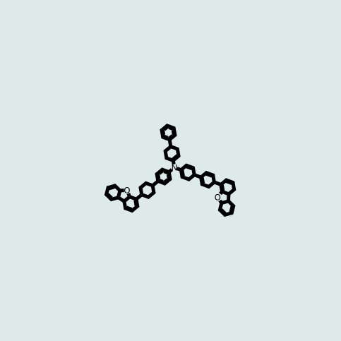 C1=CC2OC3=C(C4C=CC(C5C=CC(N(C6=CCC(c7ccccc7)CC6)c6ccc(C7CCC(C8=CC=CC9C8OC8C=CC=CC89)CC7)cc6)=CC5)=CC4)C=CCC3C2C=C1